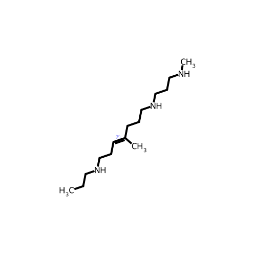 CCCNCC/C=C(\C)CCCNCCCNC